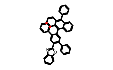 c1ccc(-c2cc(-c3c4ccccc4c(-c4ccccc4)c4ccccc34)c(-c3ccccc3)cc2-c2nc3ccccc3o2)cc1